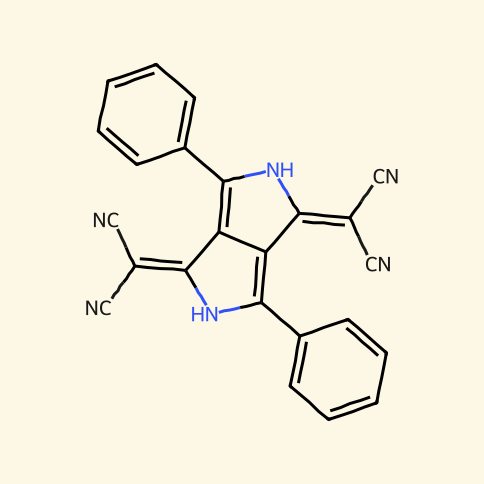 N#CC(C#N)=c1[nH]c(-c2ccccc2)c2c(=C(C#N)C#N)[nH]c(-c3ccccc3)c12